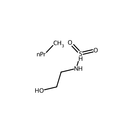 CCCC.O=[SH](=O)NCCO